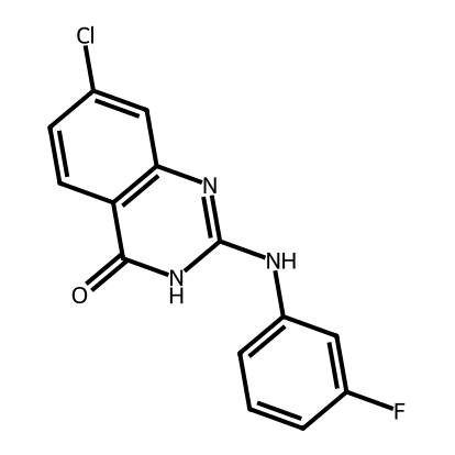 O=c1[nH]c(Nc2cccc(F)c2)nc2cc(Cl)ccc12